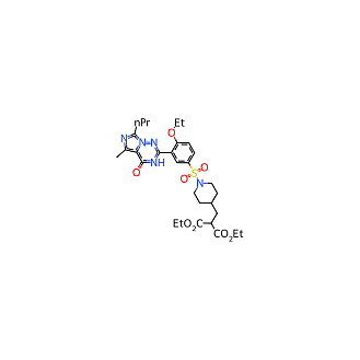 CCCc1nc(C)c2c(=O)[nH]c(-c3cc(S(=O)(=O)N4CCC(CC(C(=O)OCC)C(=O)OCC)CC4)ccc3OCC)nn12